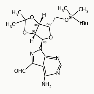 CC1(C)O[C@@H]2[C@H](O1)[C@H](CO[Si](C)(C)C(C)(C)C)O[C@H]2n1nc(C=O)c2c(N)ncnc21